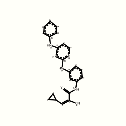 N#C/C(=C/C1CC1)C(=O)Nc1cccc(Nc2nccc(Nc3ccccc3)n2)c1